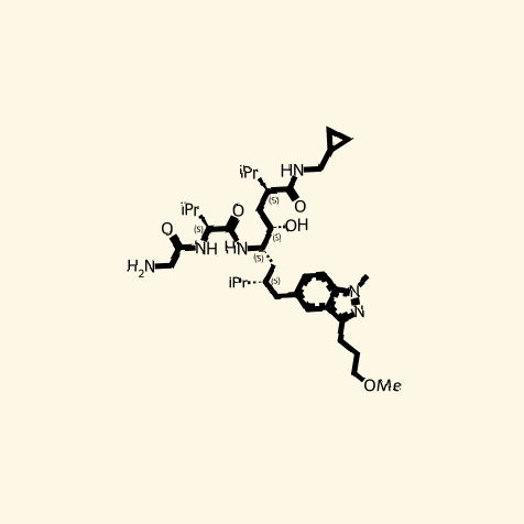 COCCCc1nn(C)c2ccc(C[C@@H](C[C@H](NC(=O)[C@@H](NC(=O)CN)C(C)C)[C@@H](O)C[C@H](C(=O)NCC3CC3)C(C)C)C(C)C)cc12